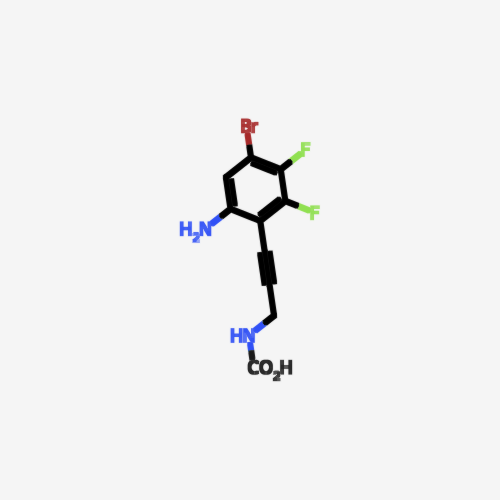 Nc1cc(Br)c(F)c(F)c1C#CCNC(=O)O